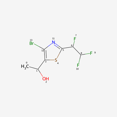 CC(O)c1sc(C(F)C(F)F)nc1Br